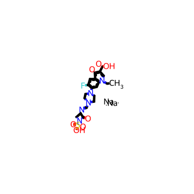 CCn1cc(C(=O)O)c(=O)c2cc(F)c(N3CCN(C=N[C@H]4CN(S(=O)(=O)O)C4=O)CC3)cc21.[Na].[Na]